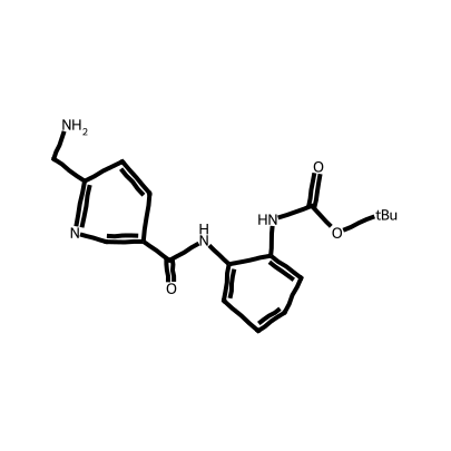 CC(C)(C)OC(=O)Nc1ccccc1NC(=O)c1ccc(CN)nc1